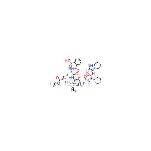 COC(=O)/C=C/CC[C@H](NC(=O)c1ccccc1C(=O)O)C(=O)N[C@H](C(=O)N1CC[C@H]1C(=O)N[C@H](C(=O)N[C@H](C(N)=O)C1CCCCC1)C1CCCCC1)C(C)(C)C